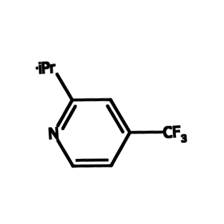 C[C](C)c1cc(C(F)(F)F)ccn1